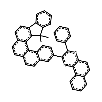 CC1(C)c2ccccc2-c2ccc3ccc4ccc5cc(-c6nc7c(ccc8ccccc87)nc6-c6ccccc6)ccc5c4c3c21